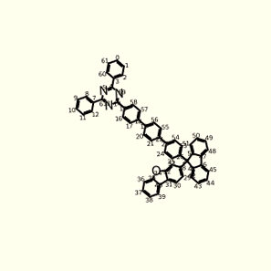 c1ccc(-c2nc(-c3ccccc3)nc(-c3ccc(-c4ccc(-c5ccc(C6(c7ccc8c(c7)oc7ccccc78)c7ccccc7-c7ccccc76)cc5)cc4)cc3)n2)cc1